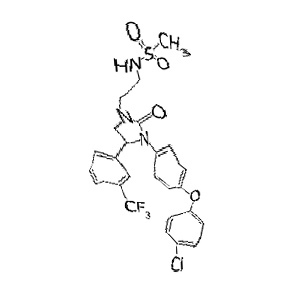 CS(=O)(=O)NCCN1CC(c2cccc(C(F)(F)F)c2)N(c2ccc(Oc3ccc(Cl)cc3)cc2)C1=O